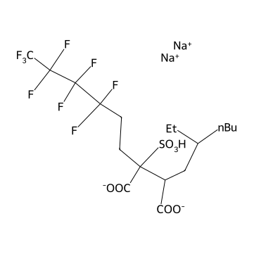 CCCCC(CC)CC(C(=O)[O-])C(CCC(F)(F)C(F)(F)C(F)(F)C(F)(F)F)(C(=O)[O-])S(=O)(=O)O.[Na+].[Na+]